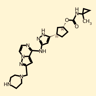 CC1(NC(=O)O[C@@H]2CC[C@H](c3cc(Nc4nccn5nc(CN6CCNCC6)cc45)n[nH]3)C2)CC1